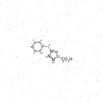 O=C(O)c1cn(Cc2ccccc2)nn1